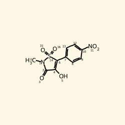 CN1C(=O)C(O)=C(c2ccc([N+](=O)[O-])cc2)S1(=O)=O